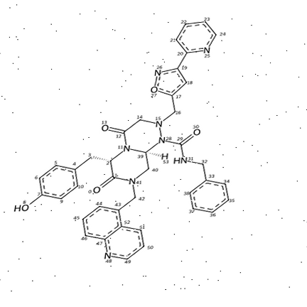 O=C1[C@H](Cc2ccc(O)cc2)N2C(=O)CN(Cc3cc(-c4ccccn4)no3)N(C(=O)NCc3ccccc3)[C@H]2CN1Cc1cccc2ncccc12